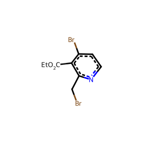 CCOC(=O)c1c(Br)ccnc1CBr